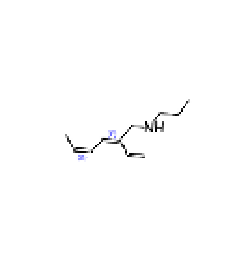 C=C/C(=C\C=C/C)CNCCC